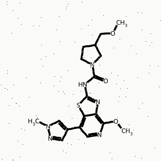 COCC1CCN(C(=O)Nc2nc3c(OC)ncc(-c4cnn(C)c4)c3s2)C1